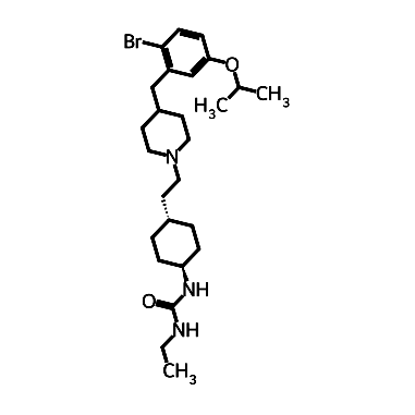 CCNC(=O)N[C@H]1CC[C@H](CCN2CCC(Cc3cc(OC(C)C)ccc3Br)CC2)CC1